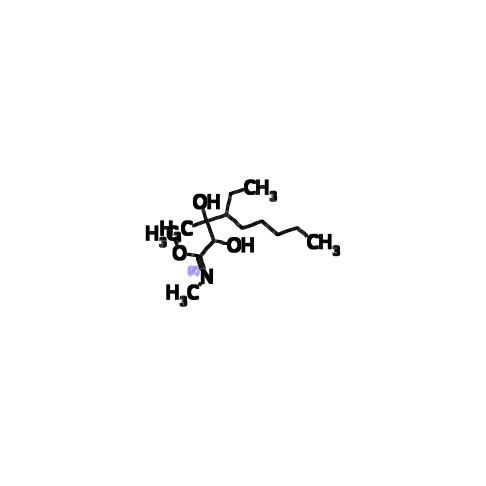 CCCCCC(CC)C(C)(O)C(O)/C(=N/C)OC